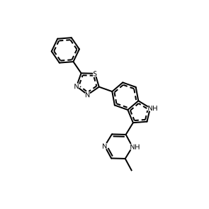 CC1C=NC=C(c2c[nH]c3ccc(-c4nnc(-c5ccccc5)s4)cc23)N1